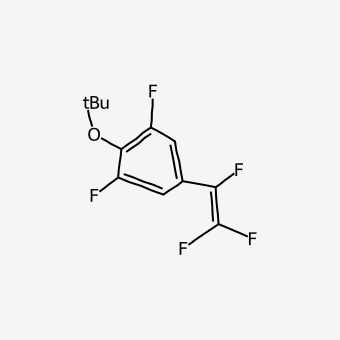 CC(C)(C)Oc1c(F)cc(C(F)=C(F)F)cc1F